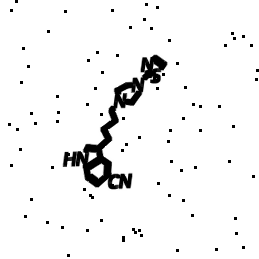 N#Cc1ccc2[nH]cc(CCCCN3CCN(c4nccs4)CC3)c2c1